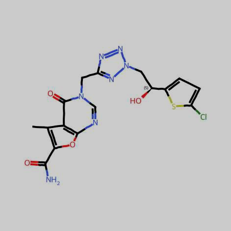 Cc1c(C(N)=O)oc2ncn(Cc3nnn(C[C@H](O)c4ccc(Cl)s4)n3)c(=O)c12